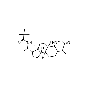 CC1C(=O)CN[C@@]2(C)C1CC[C@H]1[C@@H]3CC[C@H](C(C)NC(=O)C(C)(C)C)[C@@]3(C)CC[C@@H]12